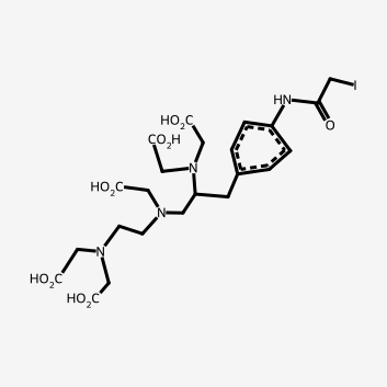 O=C(O)CN(CCN(CC(=O)O)CC(Cc1ccc(NC(=O)CI)cc1)N(CC(=O)O)CC(=O)O)CC(=O)O